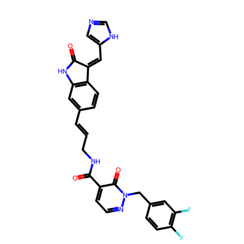 O=C1Nc2cc(/C=C/CNC(=O)c3ccnn(Cc4ccc(F)c(F)c4)c3=O)ccc2C1=Cc1cnc[nH]1